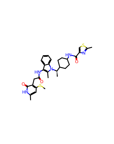 CSc1cc(C)[nH]c(=O)c1CC(=O)Nc1c(C)n([C@H](C)C2CCC(NC(=O)c3csc(C)n3)CC2)c2ccccc12